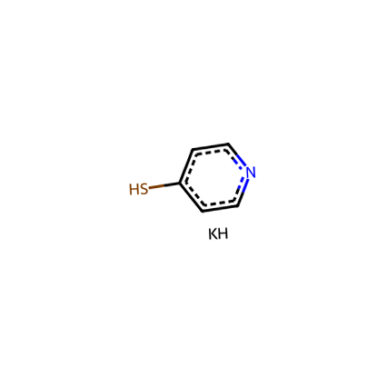 Sc1ccncc1.[KH]